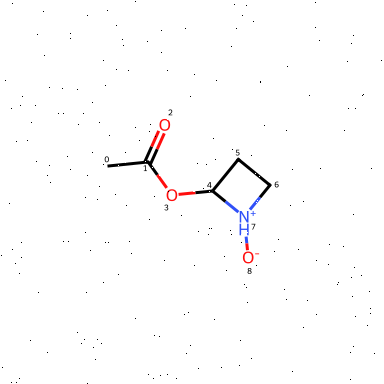 CC(=O)OC1CC[NH+]1[O-]